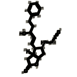 O=BPP[C@@H]1CC2OC(=O)C[C@@H]2[C@H]1/C=C/[C@@H](O)CCc1ccccc1